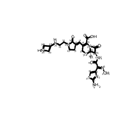 Nc1nc(C(=NO)C(=O)N[C@@H]2C(=O)N3C(C(=O)O)=C(C=C4CCN(CCNC5CNC5)C4=O)CS[C@H]23)cs1